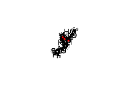 C[C@H](NC(=O)OC(C)(C)C)C(=O)NC[C@]1(O)C2CCC1C[C@@H](S(=O)(=O)c1cc(C(=O)Nc3cc(F)c(F)c(F)c3)ccc1Cl)C2